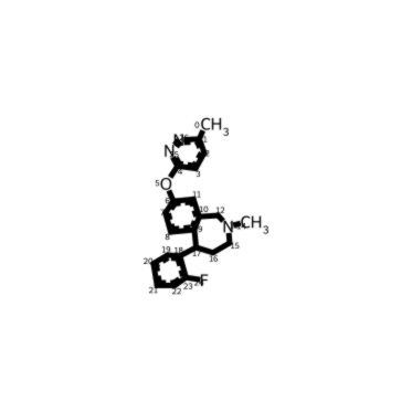 Cc1ccc(Oc2ccc3c(c2)CN(C)CCC3c2ccccc2F)nn1